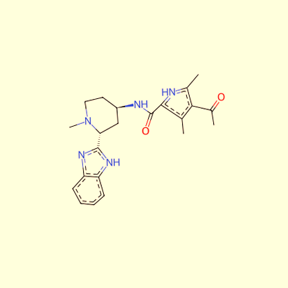 CC(=O)c1c(C)[nH]c(C(=O)N[C@@H]2CCN(C)[C@@H](c3nc4ccccc4[nH]3)C2)c1C